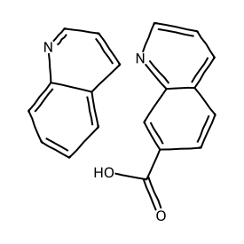 O=C(O)c1ccc2cccnc2c1.c1ccc2ncccc2c1